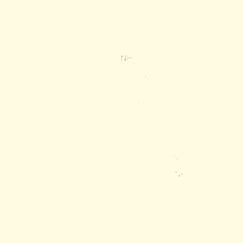 NC(CCc1ccccc1)C(=O)OCCCCO[N+](=O)[O-]